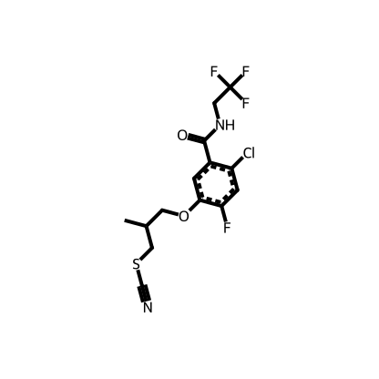 CC(COc1cc(C(=O)NCC(F)(F)F)c(Cl)cc1F)CSC#N